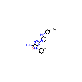 Cc1cccc(Nc2nc(N3CCCC(Nc4ccc(C(C)(C)C)cc4)C3)nnc2C(N)=O)c1